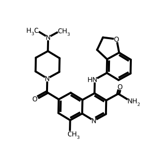 Cc1cc(C(=O)N2CCC(N(C)C)CC2)cc2c(Nc3cccc4c3CCO4)c(C(N)=O)cnc12